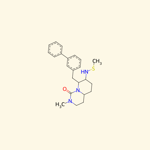 CSNC1CCC2CCN(C)C(=O)N2C1Cc1cccc(-c2ccccc2)c1